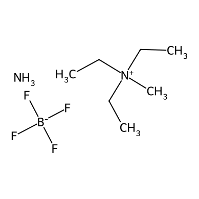 CC[N+](C)(CC)CC.F[B-](F)(F)F.N